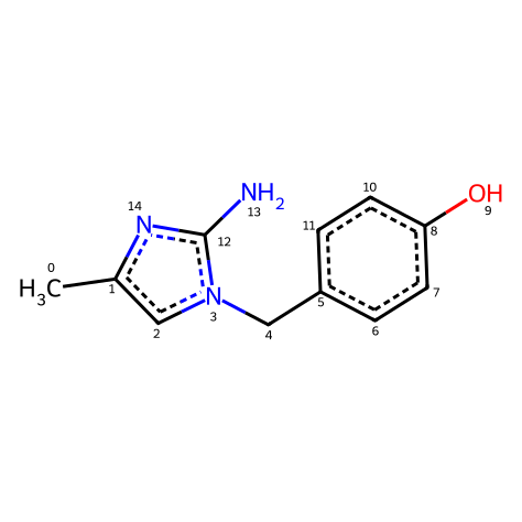 Cc1cn(Cc2ccc(O)cc2)c(N)n1